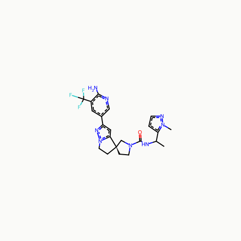 CC(NC(=O)N1CC[C@]2(CCn3nc(-c4cnc(N)c(C(F)(F)F)c4)cc32)C1)c1ccnn1C